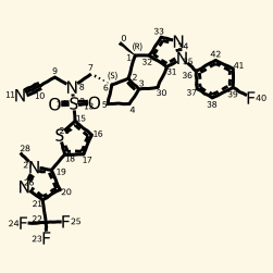 C[C@@H]1C2=C(CC[C@@H]2CN(CC#N)S(=O)(=O)c2ccc(-c3cc(C(F)(F)F)nn3C)s2)Cc2c1cnn2-c1ccc(F)cc1